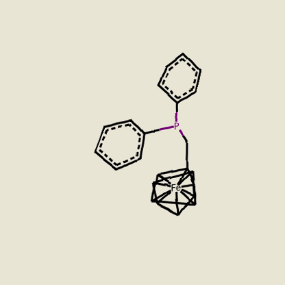 c1ccc(P(C[C]23[CH]4[CH]5[CH]6[CH]2[Fe]56432789[CH]3[CH]2[CH]7[CH]8[CH]39)c2ccccc2)cc1